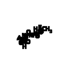 Cc1ccc(C(=O)NCCNC(=O)c2cnc3c(c2)c(=O)[nH]c(=O)n3C2CC2)cc1F